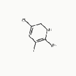 C[C](C)C1=C(C)C=C(Cl)CN1